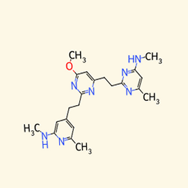 CNc1cc(CCc2nc(CCc3nc(C)cc(NC)n3)cc(OC)n2)cc(C)n1